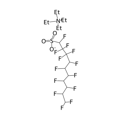 CC[N+](CC)(CC)CC.O=S(=O)([O-])C(F)C(F)(F)C(F)(F)C(F)C(F)C(F)C(F)C(F)C(F)C(F)F